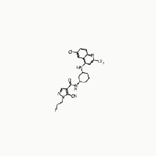 N#Cc1c(C(=O)N[C@@H]2CCC[C@H](Nc3cc(C(F)(F)F)nc4ccc(Cl)cc34)C2)cnn1CCF